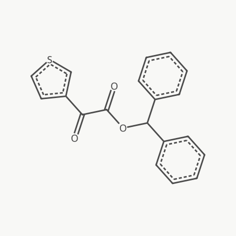 O=C(OC(c1ccccc1)c1ccccc1)C(=O)c1ccsc1